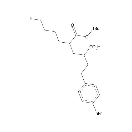 CCCc1ccc(CCC(CC(CCCCI)C(=O)OC(C)(C)C)C(=O)O)cc1